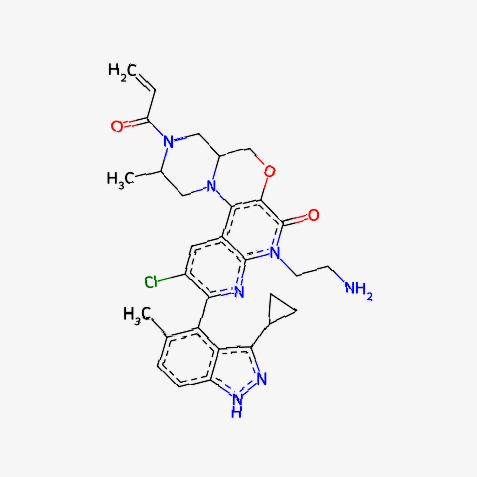 C=CC(=O)N1CC2COc3c(c4cc(Cl)c(-c5c(C)ccc6[nH]nc(C7CC7)c56)nc4n(CCN)c3=O)N2CC1C